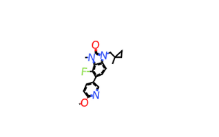 COc1ccc(-c2ccc3c(c2F)n(C)c(=O)n3CC2(C)CC2)cn1